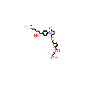 CCCCCC(O)c1ccc(N2C(=O)CCC2COCc2ccc(C(=O)OCCO)s2)cc1